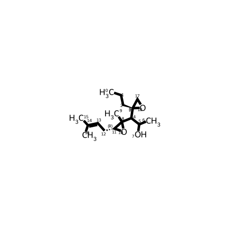 CCC[C@@]1(C(C(C)O)C2(C)O[C@@H]2CC=C(C)C)CO1